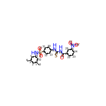 Cc1cc(C)cc(NS(=O)(=O)c2ccc(NC(=S)NC(=O)c3cccc([N+](=O)[O-])c3)cc2)c1